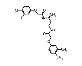 C=C(CCNC(=O)COc1ccc(C)c(C)c1)NC(=O)COc1ccc(Cl)c(F)c1